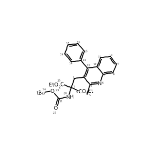 CCOC(=O)C(Cc1c(C)nc2ccccc2c1-c1ccccc1)(NC(=O)OC(C)(C)C)C(=O)OCC